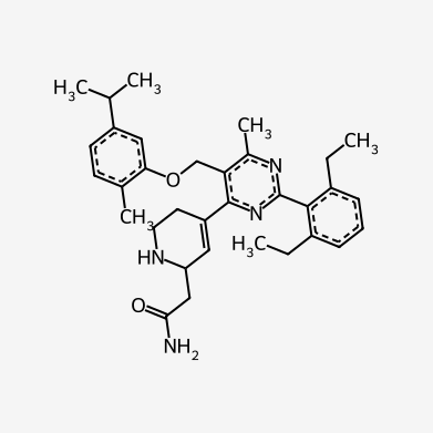 CCc1cccc(CC)c1-c1nc(C)c(COc2cc(C(C)C)ccc2C)c(C2=CC(CC(N)=O)NCC2)n1